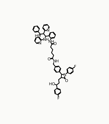 O=C(CCCCC(=O)Nc1ccccc1C(Nc1ccccn1)C(c1ccccn1)C(O)c1ccccc1)NCc1ccc(C2C(CCC(O)c3ccc(F)cc3)C(=O)N2c2ccc(F)cc2)cc1